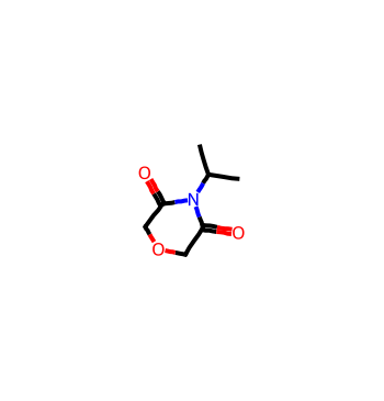 CC(C)N1C(=O)COCC1=O